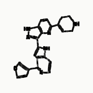 C1=C(c2ccc3[nH]nc(-c4cc5c(-c6ccoc6)nccc5[nH]4)c3n2)CCNC1